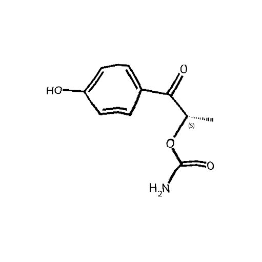 C[C@H](OC(N)=O)C(=O)c1ccc(O)cc1